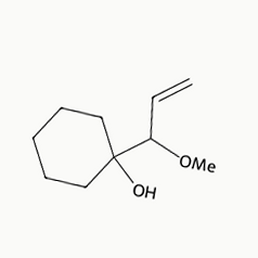 C=CC(OC)C1(O)CCCCC1